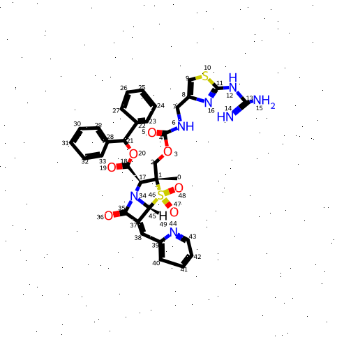 C[C@]1(COC(=O)NCc2csc(NC(=N)N)n2)[C@H](C(=O)OC(c2ccccc2)c2ccccc2)N2C(=O)/C(=C/c3ccccn3)[C@H]2S1(=O)=O